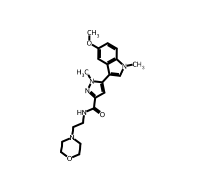 COc1ccc2c(c1)c(-c1cc(C(=O)NCCN3CCOCC3)nn1C)cn2C